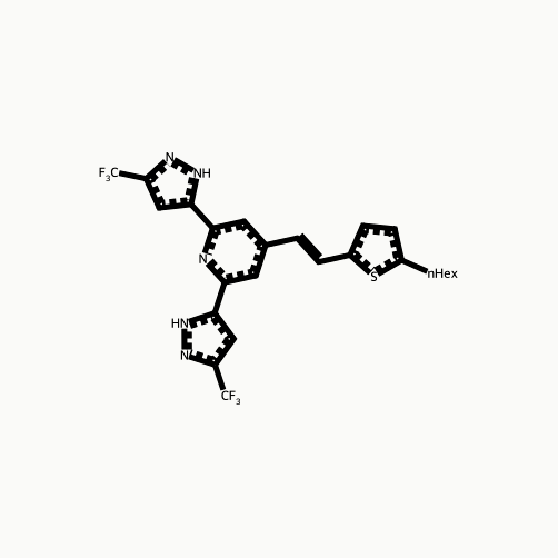 CCCCCCc1ccc(/C=C/c2cc(-c3cc(C(F)(F)F)n[nH]3)nc(-c3cc(C(F)(F)F)n[nH]3)c2)s1